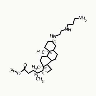 CC(C)OC(=O)CC[C@@H](C)[C@H]1CCC2C3CCC4C[C@@H](NCCNCCCN)CC[C@]4(C)C3CC[C@@]21C